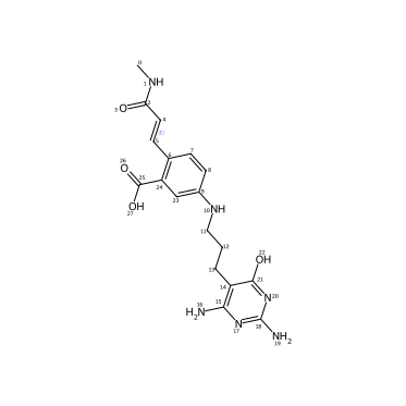 CNC(=O)/C=C/c1ccc(NCCCc2c(N)nc(N)nc2O)cc1C(=O)O